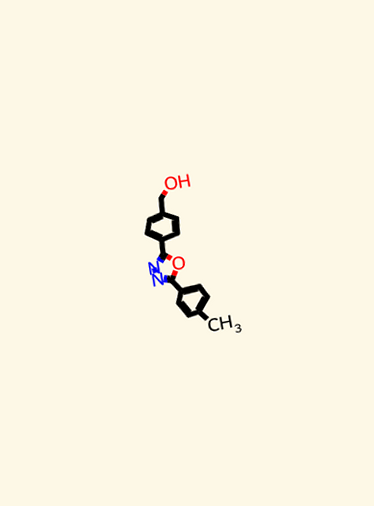 Cc1ccc(-c2nnc(-c3ccc(CO)cc3)o2)cc1